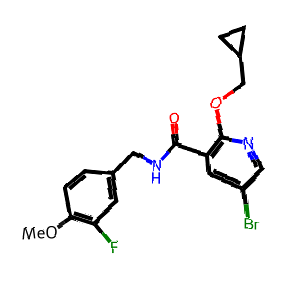 COc1ccc(CNC(=O)c2cc(Br)cnc2OCC2CC2)cc1F